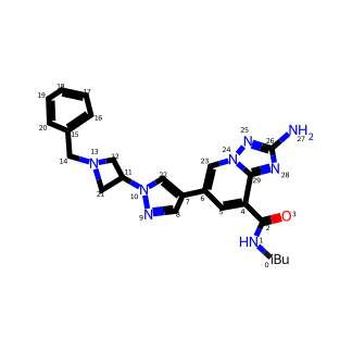 CCC(C)NC(=O)c1cc(-c2cnn(C3CN(Cc4ccccc4)C3)c2)cn2nc(N)nc12